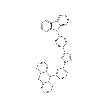 c1cc(N2c3ccccc3Sc3ccccc32)cc(-n2cc(-c3ccc(-n4c5ccccc5c5ccccc54)cc3)nn2)c1